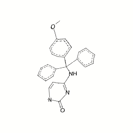 COc1ccc(C(NC2=NC(=O)[N]C=C2)(c2ccccc2)c2ccccc2)cc1